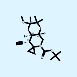 C#C[C@@H]1[C@H]2O[C@](C)(OC)C(C)(C)O[C@@H]2CN(C(=O)OC(C)(C)C)C12CC2